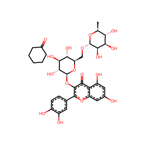 C[C@@H]1O[C@@H](OC[C@H]2O[C@@H](Oc3c(-c4ccc(O)c(O)c4)oc4cc(O)cc(O)c4c3=O)[C@H](O)[C@@H](O)[C@@H]2O)[C@H](O)[C@H](O)[C@H]1O.O=C1CCCCC1